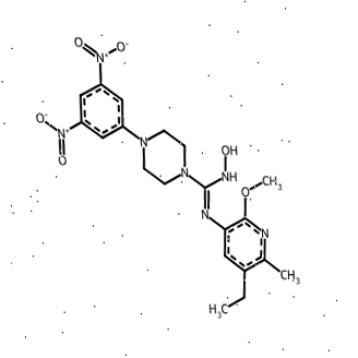 CCc1cc(N=C(NO)N2CCN(c3cc([N+](=O)[O-])cc([N+](=O)[O-])c3)CC2)c(OC)nc1C